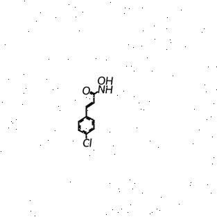 O=C(C=Cc1ccc(Cl)cc1)NO